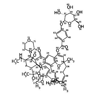 CNC12CC3C(C)(C)OC(C/C=C(/C)C(=O)OC)(C1=O)C31Oc3c(cc4c(c3CC=C(C)C)OC(C)(CCC=C(C)C)C=C4OC(=O)c3ccc(O[C@@H]4O[C@H](CO)[C@@H](O)[C@@H](O)[C@H]4O)cc3)C(=O)C1C2N1CCOCC1